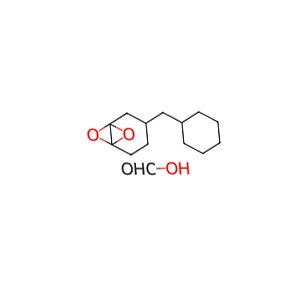 C1CCC(CC2CCC34OC3(C2)O4)CC1.O=CO